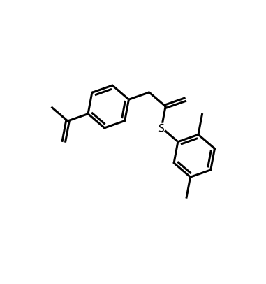 C=C(Cc1ccc(C(=C)C)cc1)Sc1cc(C)ccc1C